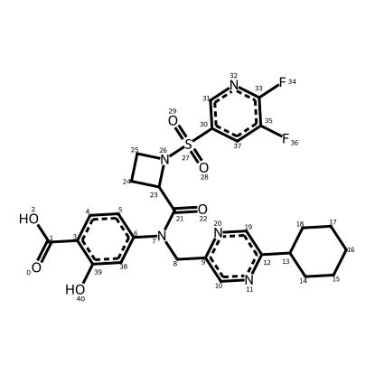 O=C(O)c1ccc(N(Cc2cnc(C3CCCCC3)cn2)C(=O)C2CCN2S(=O)(=O)c2cnc(F)c(F)c2)cc1O